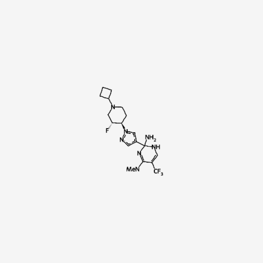 CNC1=NC(N)(c2cnn([C@@H]3CCN(C4CCC4)C[C@H]3F)c2)NC=C1C(F)(F)F